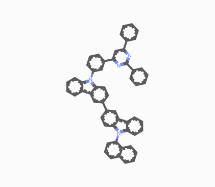 c1ccc(-c2cc(-c3cccc(-n4c5ccccc5c5cc(-c6ccc7c(c6)c6ccccc6n7-c6cccc7ccccc67)ccc54)c3)nc(-c3ccccc3)n2)cc1